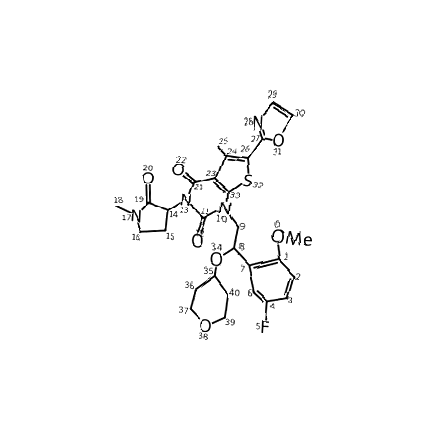 COc1ccc(F)cc1C(Cn1c(=O)n(C2CCN(C)C2=O)c(=O)c2c(C)c(-c3ncco3)sc21)OC1CCOCC1